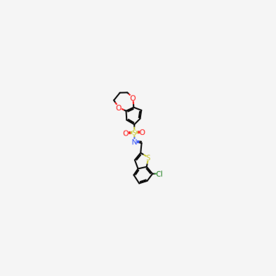 O=S(=O)(/N=C/c1cc2cccc(Cl)c2s1)c1ccc2c(c1)OCCCO2